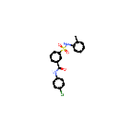 Cc1ccccc1NS(=O)(=O)c1cccc(C(=O)Nc2ccc(Cl)cc2)c1